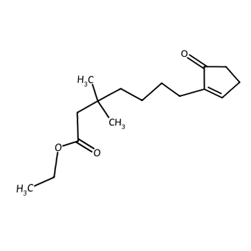 CCOC(=O)CC(C)(C)CCCCC1=CCCC1=O